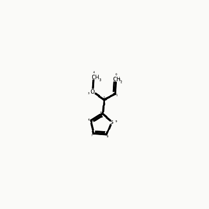 C=CC(OC)c1cccs1